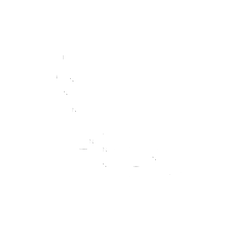 COCCN(C)Cc1cc(O)ccc1-c1cccc(-n2c(=O)n(C3CCC(NCc4cn5cc(F)ccc5n4)CC3)c(=O)c3cc(F)cnc32)c1